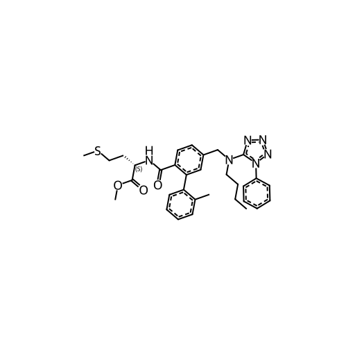 CCCCN(Cc1ccc(C(=O)N[C@@H](CCSC)C(=O)OC)c(-c2ccccc2C)c1)c1nnnn1-c1ccccc1